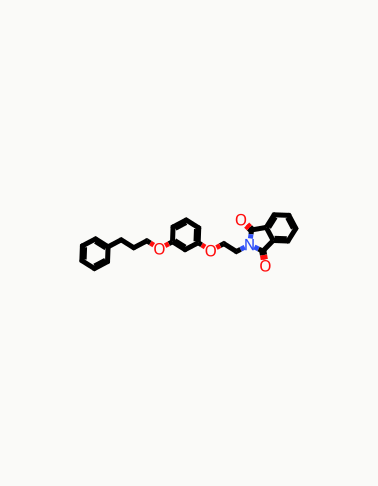 O=C1c2ccccc2C(=O)N1CCOc1cccc(OCCCc2ccccc2)c1